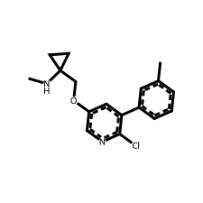 CNC1(COc2cnc(Cl)c(-c3cccc(C)c3)c2)CC1